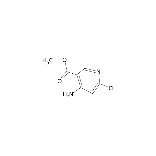 COC(=O)c1cnc(Cl)cc1N